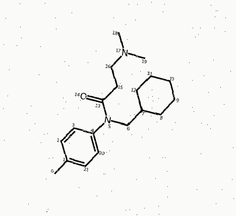 Cc1ccc(N(CC2CCCCC2)C(=O)CCN(C)C)cc1